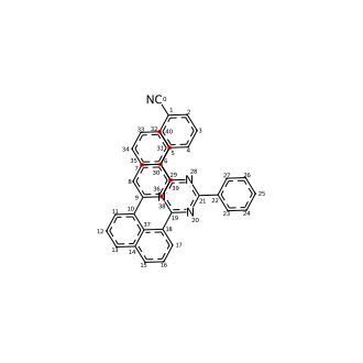 N#Cc1cccc(-c2ccc(-c3cccc4cccc(-c5nc(-c6ccccc6)nc(-c6ccccc6)n5)c34)cc2)c1